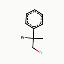 CCC(C)(C[O])c1ccccc1